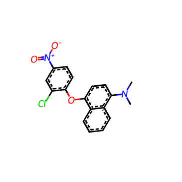 CN(C)c1ccc(Oc2ccc([N+](=O)[O-])cc2Cl)c2ccccc12